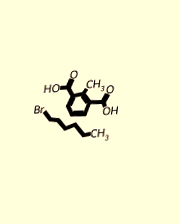 CCCCCCBr.Cc1c(C(=O)O)cccc1C(=O)O